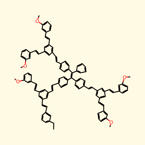 CCc1cccc(/C=C/c2cc(/C=C/c3ccc(/C(=C(/c4ccccc4)c4ccc(/C=C/c5cc(/C=C/c6cccc(OC)c6)cc(/C=C/c6cccc(OC)c6)c5)cc4)c4ccc(/C=C/c5cc(/C=C/c6cccc(OC)c6)cc(/C=C/c6cccc(OC)c6)c5)cc4)cc3)cc(/C=C/c3cccc(OC)c3)c2)c1